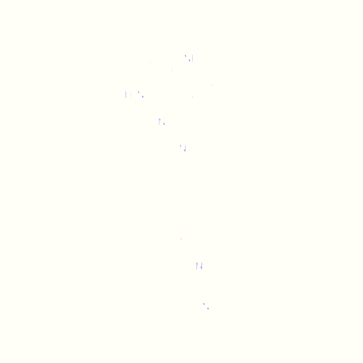 CCN1CCCC1CN(C)C(=O)Cc1ccc(-c2ccc3c(=O)c(C(=O)NC)c(N)n(CC)c3n2)cc1